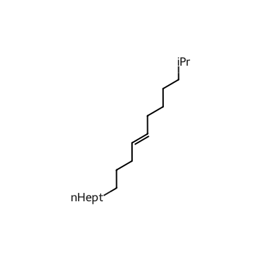 CCCCCCCCCC/C=C/CCCCC(C)C